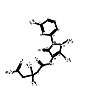 COC(=O)CC(C)(C)CC(=O)Nc1c(C)n(C)n(-c2cccc(C)n2)c1=O